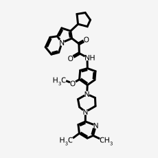 COc1cc(NC(=O)C(=O)c2c(C3CCCC3)cc3ccccn23)ccc1N1CCN(c2cc(C)cc(C)n2)CC1